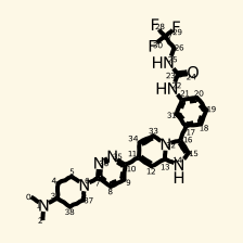 CN(C)C1CCN(c2ccc(C3=CC4NC=C(c5cccc(NC(=O)NCC(F)(F)F)c5)N4C=C3)nn2)CC1